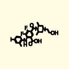 Cc1cc(I)ccc1Nc1c(C(=O)O)cc(C(=O)N2C(C)CN(CCO)CC2C)c(F)c1F